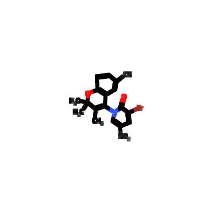 CC1=C(n2cc([N+](=O)[O-])cc(Br)c2=O)c2cc(C#N)ccc2OC1(C)C